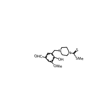 COc1cc(C=O)cc(CN2CCN(C(=S)SC)CC2)c1O